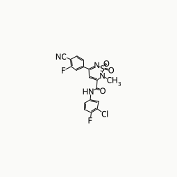 CN1C(C(=O)Nc2ccc(F)c(Cl)c2)=CC(c2ccc(C#N)c(F)c2)=NS1(=O)=O